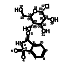 O=C1NS(=O)(=O)c2ccccc21.OC[C@H]1O[C@H](Cl)[C@H](O)[C@@H](O)[C@@H]1O